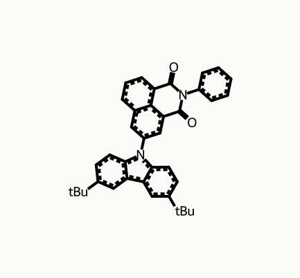 CC(C)(C)c1ccc2c(c1)c1cc(C(C)(C)C)ccc1n2-c1cc2c3c(cccc3c1)C(=O)N(c1ccccc1)C2=O